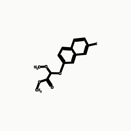 COC(=O)C(OC)Oc1ccc2ccc(I)cc2c1